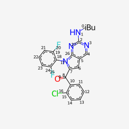 CCC(C)Nc1ncc2cc(C(=O)c3ccccc3Cl)n(-c3c(F)cccc3F)c2n1